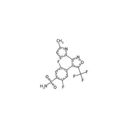 Cc1csc(-c2noc(C(F)(F)F)c2-c2cc(F)c(S(N)(=O)=O)cc2F)n1